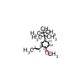 CC=Cc1cc(C(C)(C)C(C)(C)C)ccc1OC